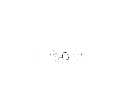 CC(C)(C)C(=O)N(S)c1ccc(C2=NNC(=O)CC2)cc1